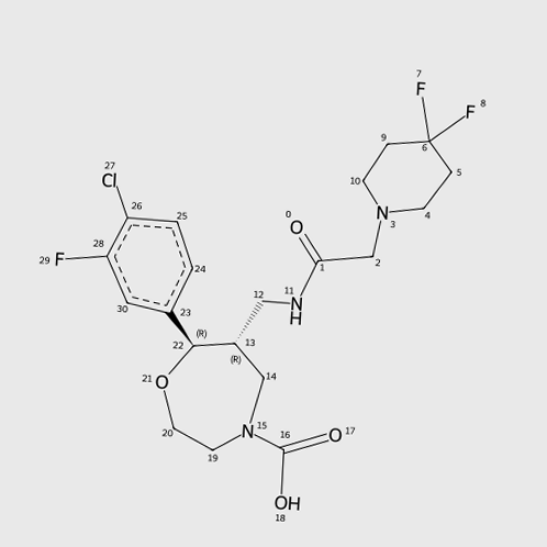 O=C(CN1CCC(F)(F)CC1)NC[C@@H]1CN(C(=O)O)CCO[C@H]1c1ccc(Cl)c(F)c1